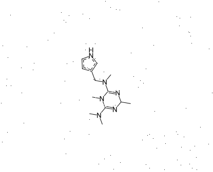 CC1N=C(N(C)C)N(C)C(N(C)Cc2cc[nH]c2)=N1